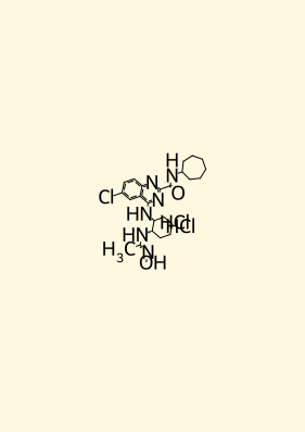 C/C(=N\O)N[C@@H]1CCCC[C@@H]1Nc1nc(C(=O)NC2CCCCCC2)nc2ccc(Cl)cc12.Cl.Cl